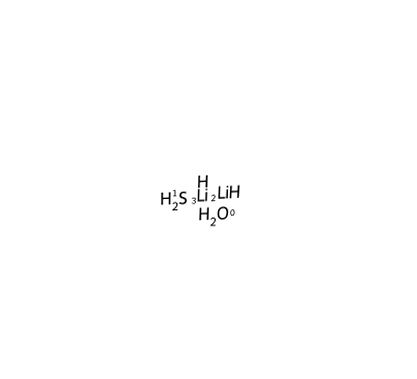 O.S.[LiH].[LiH]